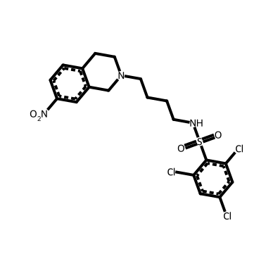 O=[N+]([O-])c1ccc2c(c1)CN(CCCCNS(=O)(=O)c1c(Cl)cc(Cl)cc1Cl)CC2